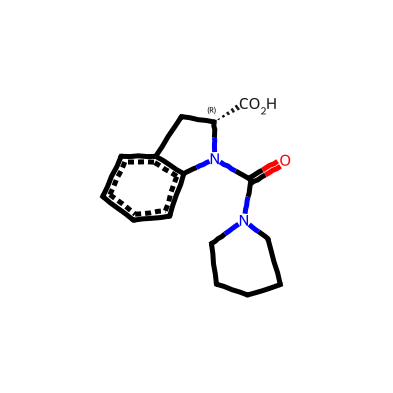 O=C(O)[C@H]1Cc2ccccc2N1C(=O)N1CCCCC1